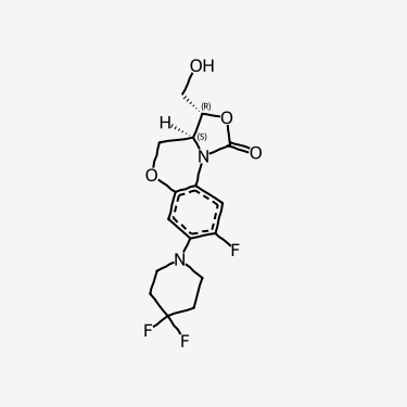 O=C1O[C@@H](CO)[C@@H]2COc3cc(N4CCC(F)(F)CC4)c(F)cc3N12